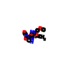 CCCC[C@H](NC(=O)C1(NC(=O)N2CCOCC2)CCCCC1)C(=O)C(=O)Nc1ccc(Oc2ccccc2)cc1